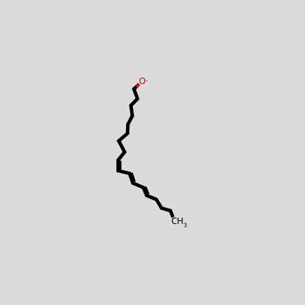 CCCC/C=C/C=C/C=C\CCCCCCCC[O]